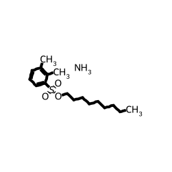 CCCCCCCCCOS(=O)(=O)c1cccc(C)c1C.N